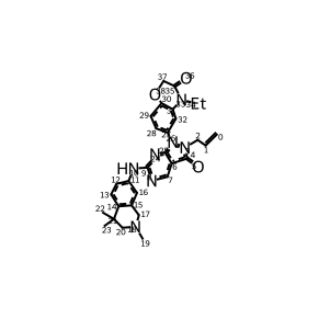 C=CCn1c(=O)c2cnc(Nc3ccc4c(c3)CN(C)CC4(C)C)nc2n1-c1ccc2c(c1)N(CC)C(=O)CO2